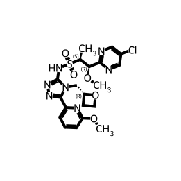 COc1cccc(-c2nnc(NS(=O)(=O)[C@@H](C)[C@H](OC)c3ncc(Cl)cn3)n2C[C@H]2CCO2)n1